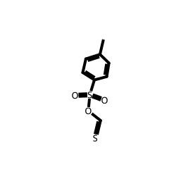 Cc1ccc(S(=O)(=O)OC=S)cc1